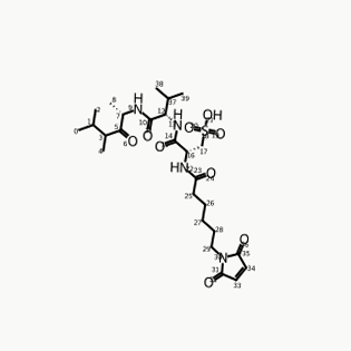 CC(C)C(C)C(=O)[C@H](C)NC(=O)[C@@H](NC(=O)[C@H](CS(=O)(=O)O)NC(=O)CCCCCN1C(=O)C=CC1=O)C(C)C